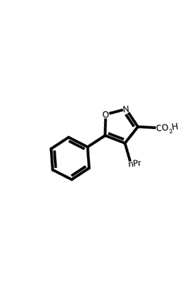 CCCc1c(C(=O)O)noc1-c1ccccc1